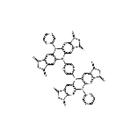 O=C1CC(=O)c2cc3c(cc21)B(c1ccc(B2c4cc5c(cc4N(c4ccccc4)c4cc6c(cc42)C(=O)CC6=O)C(=O)CC5=O)cc1)c1cc2c(cc1N3c1ccccc1)C(=O)CC2=O